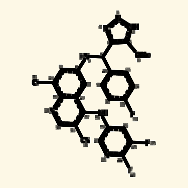 COc1[nH]nnc1C(Nc1cc(Cl)c2ncc(C#N)c(Nc3cnc(F)c(F)c3)c2c1)c1ccc(F)cc1